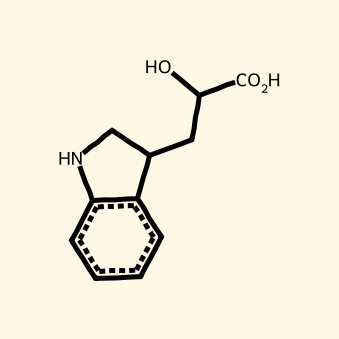 O=C(O)C(O)CC1CNc2ccccc21